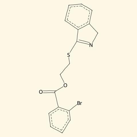 O=C(OCCSC1=NCc2ccccc21)c1ccccc1Br